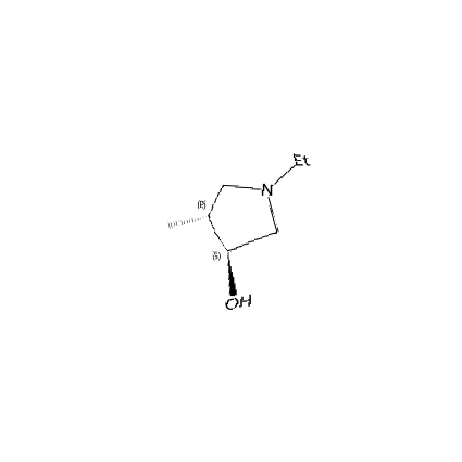 CCN1C[C@@H](C)[C@H](O)C1